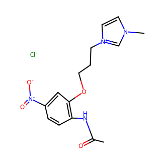 CC(=O)Nc1ccc([N+](=O)[O-])cc1OCCC[n+]1ccn(C)c1.[Cl-]